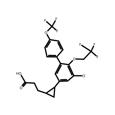 O=C(O)CCC1CC1c1cc(Cl)c(OCC(F)(F)F)c(-c2ccc(OC(F)(F)F)cc2)c1